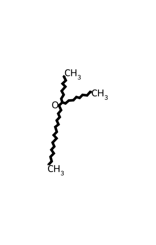 CCCCCCCCCCCCCCCCCC(=O)[C](CCCCCCCC)CCCCCCCCC